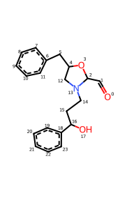 O=CC1OC(Cc2ccccc2)CN1CCC(O)c1ccccc1